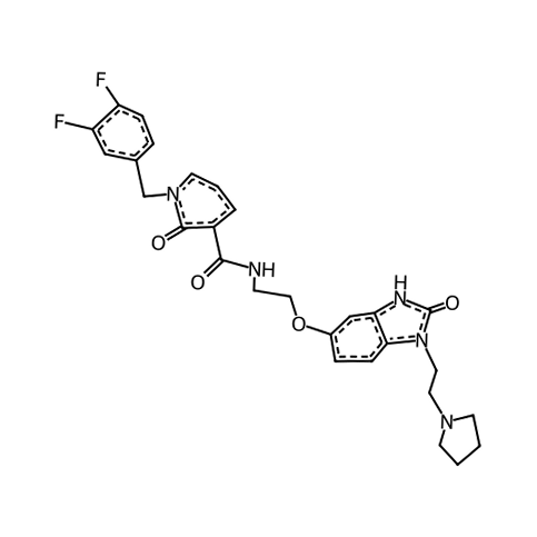 O=C(NCCOc1ccc2c(c1)[nH]c(=O)n2CCN1CCCC1)c1cccn(Cc2ccc(F)c(F)c2)c1=O